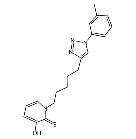 Cc1cccc(-n2cc(CCCCCn3cccc(O)c3=S)nn2)c1